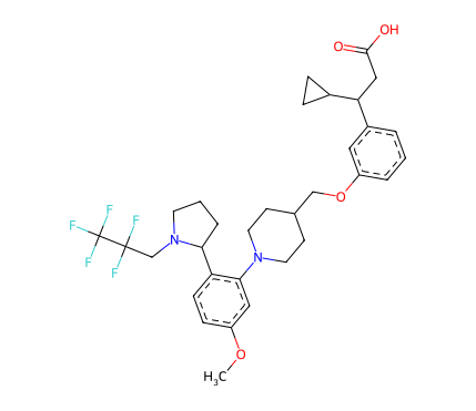 COc1ccc(C2CCCN2CC(F)(F)C(F)(F)F)c(N2CCC(COc3cccc(C(CC(=O)O)C4CC4)c3)CC2)c1